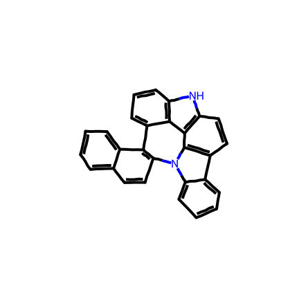 c1ccc2c(c1)ccc1c2c2cccc3[nH]c4ccc5c6ccccc6n1c5c4c32